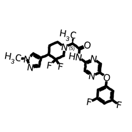 C[C@@H](C(=O)Nc1cnc(Oc2cc(F)cc(F)c2)cn1)N1CCC(c2cnn(C)c2)C(F)(F)C1